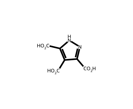 O=C(O)c1n[nH]c(C(=O)O)c1C(=O)O